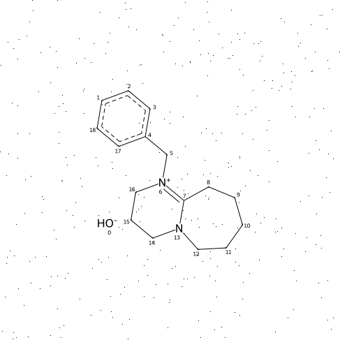 [OH-].c1ccc(C[N+]2=C3CCCCCN3CCC2)cc1